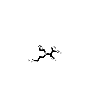 C=C(C(C)C)N(CCC)CCCC